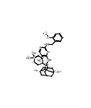 N#Cc1cnc(NCc2ccccc2OC(F)(F)F)nc1NCC12CC3C[C@H](C1)C(NC1CCS(O)(O)CC1)[C@@H](C3)C2